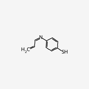 C=C/C=N\c1ccc(S)cc1